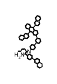 C=C/C=C\c1c(N)c2ccc(-c3ccc4c(c3)C=CCC4)cc2n1-c1ccc(-c2cccc(-c3ccc4c(-c5ccc6ccccc6c5)c5ccccc5c(-c5ccc6ccccc6c5)c4c3)c2)cc1